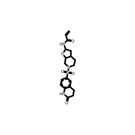 C=CC(=O)NC1CC2CCN(S(=O)(=O)c3ccc4c(c3)CCC(=O)N4)CC2O1